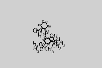 CC(C)(C)c1cc(/C=N/C2CCCCC2NCl)c(O)c(C(C)(C)C)c1